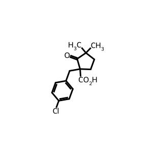 CC1(C)CCC(Cc2ccc(Cl)cc2)(C(=O)O)C1=O